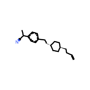 C=CCC[C@H]1CC[C@H](CCc2ccc(C(C)C#N)cc2)CC1